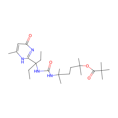 CCC(CC)(NC(=O)NC(C)(C)CCC(C)(C)OC(=O)C(C)(C)C)c1nc(=O)cc(C)[nH]1